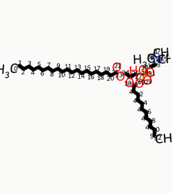 CCCCCCCCCCCCCCCCCCCCCC(=O)OCC(COP(=O)(O)OCC[N+](C)(C)C)OC(=O)CCCCCCCCCCCC